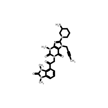 CC#CCn1c(N2CCCC(N)C2)nc2c1c(=O)n(CC(=O)c1cccc3c1n(C)c(=O)n3C)c(=O)n2C